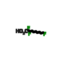 O=C(O)C(F)C(F)CCCCCCCF